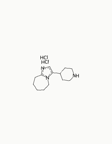 Cl.Cl.c1nc2n(c1C1CCNCC1)CCCCC2